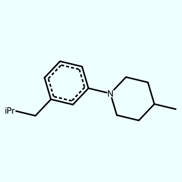 CC(C)Cc1cccc(N2CCC(C)CC2)c1